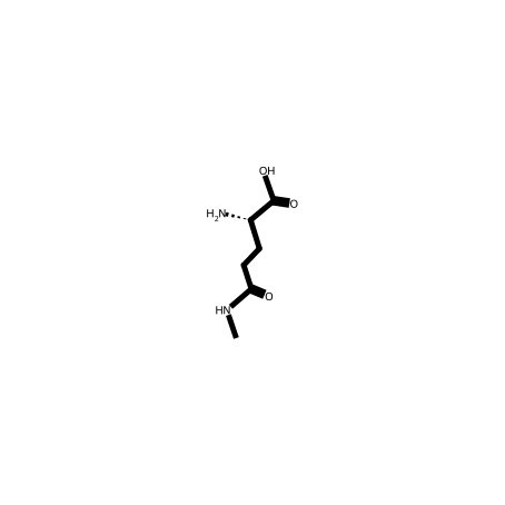 CNC(=O)CC[C@H](N)C(=O)O